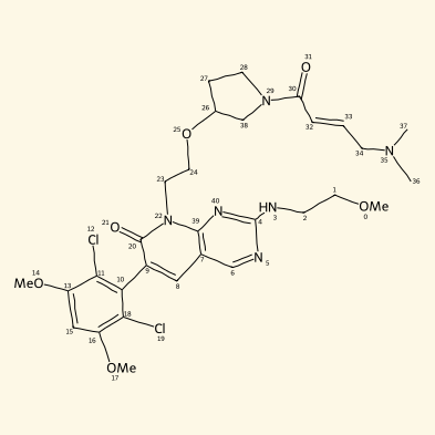 COCCNc1ncc2cc(-c3c(Cl)c(OC)cc(OC)c3Cl)c(=O)n(CCOC3CCN(C(=O)C=CCN(C)C)C3)c2n1